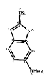 CCCCCCc1ccc2cc(C(C)(C)C)sc2c1